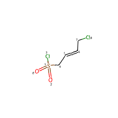 O=S(=O)(Cl)CC=CCCl